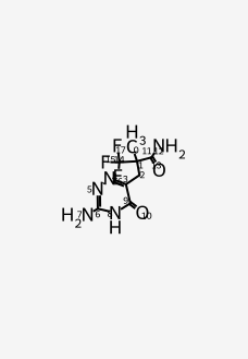 CC(Cc1nnc(N)[nH]c1=O)(C(N)=O)C(F)(F)F